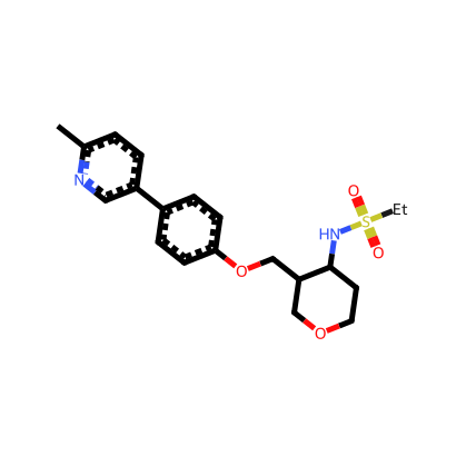 CCS(=O)(=O)NC1CCOCC1COc1ccc(-c2ccc(C)nc2)cc1